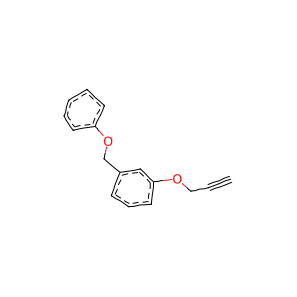 C#CCOc1cccc(COc2ccccc2)c1